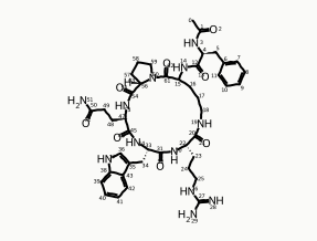 CC(=O)N[C@@H](Cc1ccccc1)C(=O)NC1CCCNC(=O)[C@H](CCCNC(=N)N)NC(=O)[C@H](Cc2c[nH]c3ccccc23)NC(=O)[C@@H](CCC(N)=O)NC(=O)[C@@H]2CCCN2C1=O